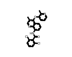 Cc1cnc2c(NC(=O)c3c(Cl)cccc3Cl)cccc2c1Oc1cccnc1C